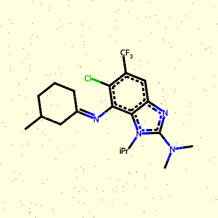 CC1CCCC(=Nc2c(Cl)c(C(F)(F)F)cc3nc(N(C)C)n(C(C)C)c23)C1